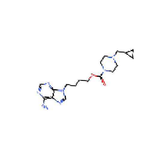 Nc1ncnc2c1ncn2CCCCOC(=O)N1CCN(CC2CC2)CC1